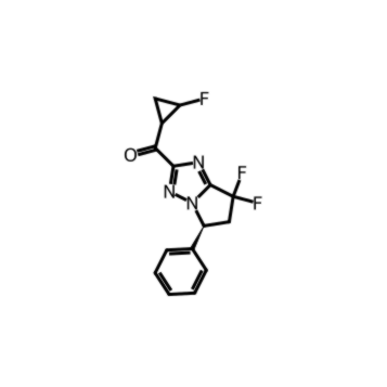 O=C(c1nc2n(n1)[C@H](c1ccccc1)CC2(F)F)C1CC1F